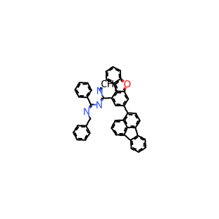 C=N/C(=N\C(=N/Cc1ccccc1)c1ccccc1)c1cc(-c2ccc3c4c(cccc24)-c2ccccc2-3)cc2oc3ccccc3c12